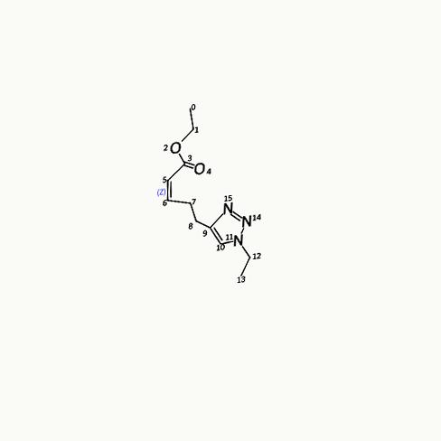 CCOC(=O)/C=C\CCc1cn(CC)nn1